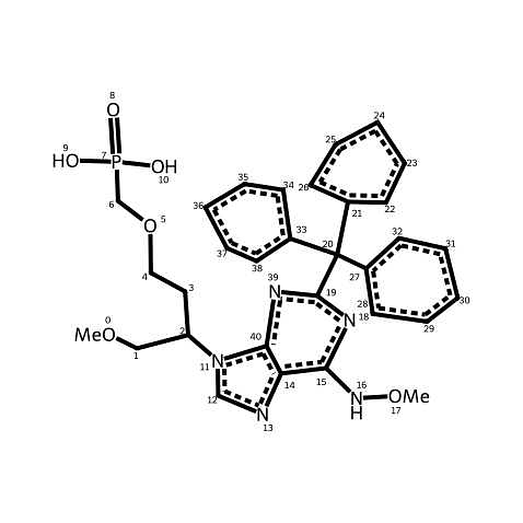 COCC(CCOCP(=O)(O)O)n1cnc2c(NOC)nc(C(c3ccccc3)(c3ccccc3)c3ccccc3)nc21